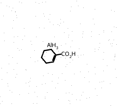 O=C(O)C1=CCCCC1.[AlH3]